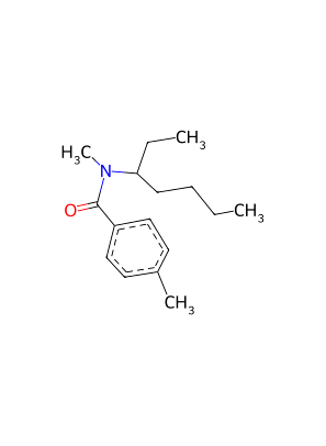 CCCCC(CC)N(C)C(=O)c1ccc(C)cc1